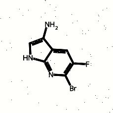 Nc1c[nH]c2nc(Br)c(F)cc12